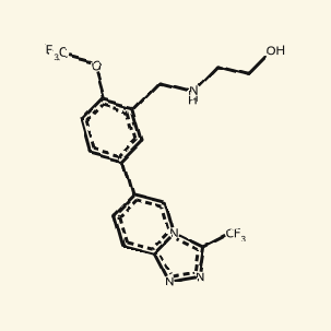 OCCNCc1cc(-c2ccc3nnc(C(F)(F)F)n3c2)ccc1OC(F)(F)F